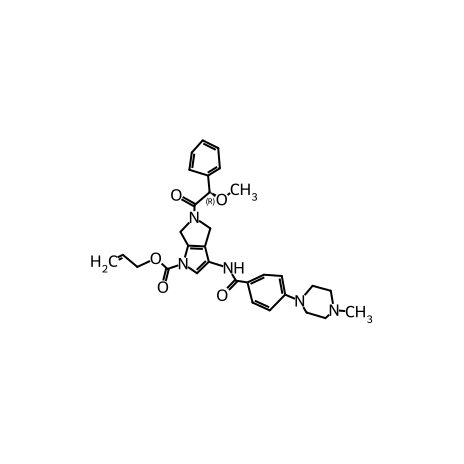 C=CCOC(=O)n1cc(NC(=O)c2ccc(N3CCN(C)CC3)cc2)c2c1CN(C(=O)[C@H](OC)c1ccccc1)C2